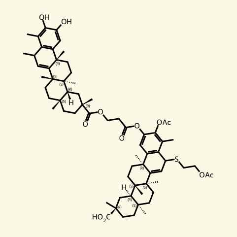 CC(=O)OCCSC1C=C2[C@@](C)(CC[C@@]3(C)[C@@H]4C[C@](C)(C(=O)O)CC[C@]4(C)CC[C@]23C)c2cc(OC(=O)CCOC(=O)[C@]3(C)CC[C@]4(C)CC[C@]5(C)C6=CC(C)c7c(cc(O)c(O)c7C)[C@]6(C)CC[C@@]5(C)[C@@H]4C3)c(OC(C)=O)c(C)c21